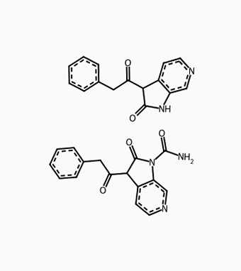 NC(=O)N1C(=O)C(C(=O)Cc2ccccc2)c2ccncc21.O=C(Cc1ccccc1)C1C(=O)Nc2cnccc21